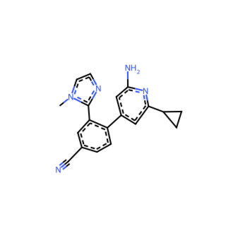 Cn1ccnc1-c1cc(C#N)ccc1-c1cc(N)nc(C2CC2)c1